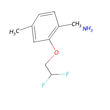 Cc1ccc(C)c(OCC(F)F)c1.N